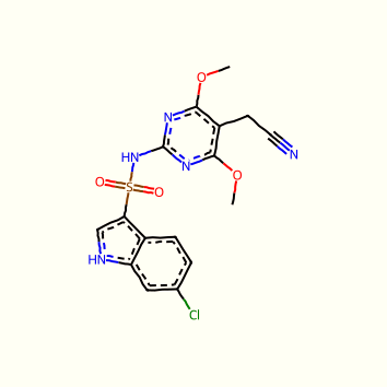 COc1nc(NS(=O)(=O)c2c[nH]c3cc(Cl)ccc23)nc(OC)c1CC#N